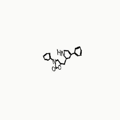 O=C1OC(CC2CC(c3ccccc3)=CCN2)CN1c1ccccc1